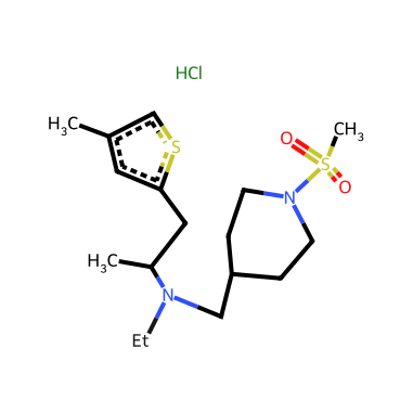 CCN(CC1CCN(S(C)(=O)=O)CC1)C(C)Cc1cc(C)cs1.Cl